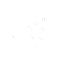 CN1C(=O)Cn2c1nc1nc(Br)n(Cc3cc(F)ccc3C#N)c1c2=O